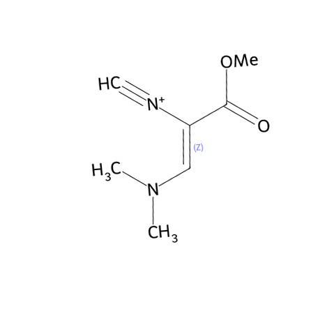 C#[N+]/C(=C\N(C)C)C(=O)OC